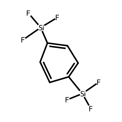 F[Si](F)(F)c1ccc([Si](F)(F)F)cc1